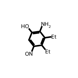 CCc1c(N=O)cc(O)c(N)c1CC